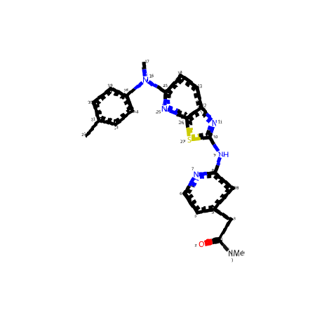 CNC(=O)Cc1ccnc(Nc2nc3ccc(N(C)c4ccc(C)cc4)nc3s2)c1